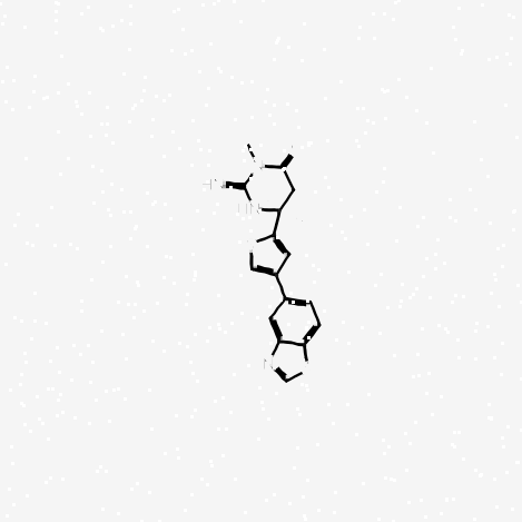 CN1C(=N)N[C@](C)(c2cc(-c3ccc4scnc4c3)cs2)CC1=O